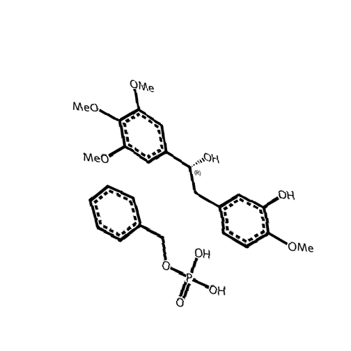 COc1ccc(C[C@@H](O)c2cc(OC)c(OC)c(OC)c2)cc1O.O=P(O)(O)OCc1ccccc1